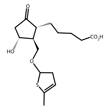 CC1=CCC(OC[C@H]2[C@H](O)CC(=O)[C@@H]2CCCCC(=O)O)S1